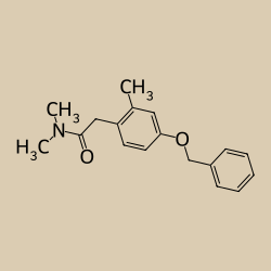 Cc1cc(OCc2ccccc2)ccc1CC(=O)N(C)C